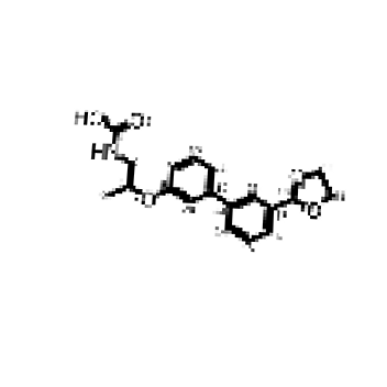 CC(CNC(=O)O)Oc1cccc(-c2cccc(C3OCCO3)c2)c1